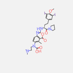 COc1c(I)cc(CC[C@H](Nc2nc3ccc(N(CCN(C)C)C(=O)O)c(C)c3c(=O)o2)C(=O)N2CCCC2)cc1I